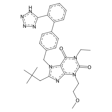 CCn1c(=O)c2c(nc(CC(C)(C)C)n2Cc2ccc(-c3ccccc3-c3nnn[nH]3)cc2)n(CCOC)c1=O